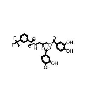 O=C(OCC(CNS(=O)(=O)c1cccc(C(F)(F)F)c1)OC(=O)c1ccc(O)c(O)c1)c1ccc(O)c(O)c1